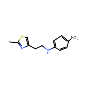 Cc1nc(CCNc2ccc([N+](=O)[O-])cc2)cs1